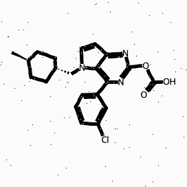 C[C@H]1CC[C@H](Cn2ccc3nc(OC(=O)O)nc(-c4cccc(Cl)c4)c32)CC1